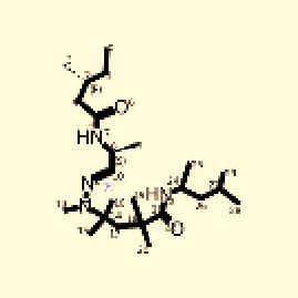 CC[C@@H](C)CC(=O)N[C@@H](C)/C=N/N(C)C(C)(C)CC(C)(C)C(=O)NC(C)CC(C)C